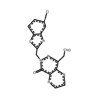 O=CCc1nn(Cc2nc3cc(Cl)ccc3s2)c(=O)c2nccnc12